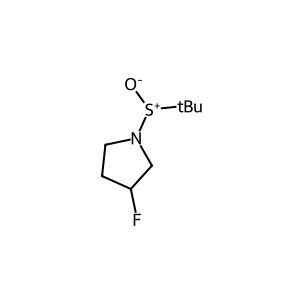 CC(C)(C)[S+]([O-])N1CCC(F)C1